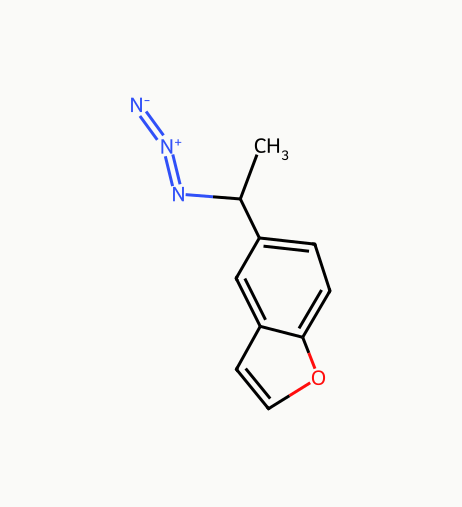 CC(N=[N+]=[N-])c1ccc2occc2c1